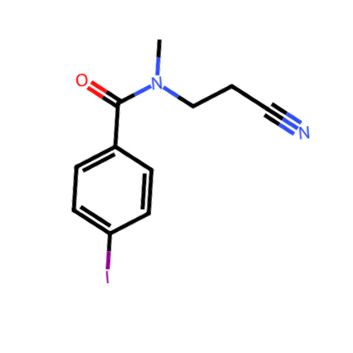 CN(CCC#N)C(=O)c1ccc(I)cc1